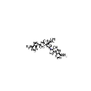 COC([C@@H](O)/C=C(/CCO[C@@H](O)C[C@@H](OC)n1cnc2c(N)ncnc21)OP(=O)(O)CO)n1cnc2c(N)ncnc21